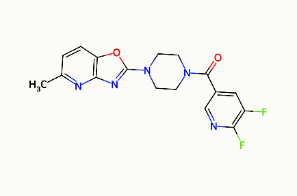 Cc1ccc2oc(N3CCN(C(=O)c4cnc(F)c(F)c4)CC3)nc2n1